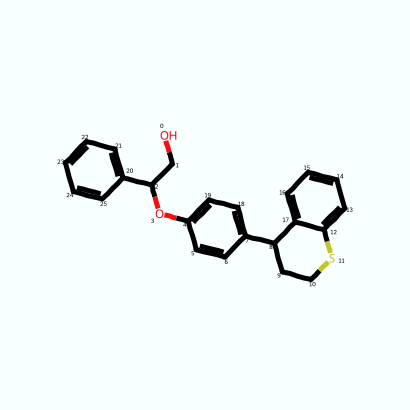 OCC(Oc1ccc(C2CCSc3ccccc32)cc1)c1ccccc1